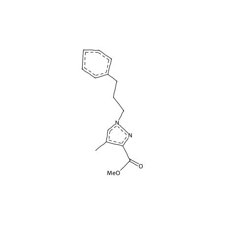 COC(=O)c1nn(CCCc2ccccc2)cc1C